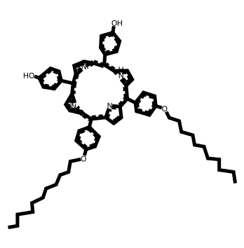 CCCCCCCCCCCOc1ccc(-c2c3nc(c(-c4ccc(OCCCCCCCCCCC)cc4)c4ccc([nH]4)c(-c4ccc(O)cc4)c4nc(c(-c5ccc(O)cc5)c5ccc2[nH]5)C=C4)C=C3)cc1